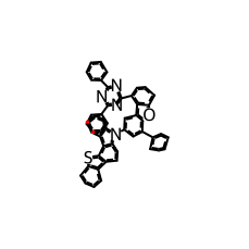 c1ccc(-c2nc(-c3ccccc3)nc(-c3cccc4oc5c(-c6ccccc6)cc(-n6c7ccccc7c7c8sc9ccccc9c8ccc76)cc5c34)n2)cc1